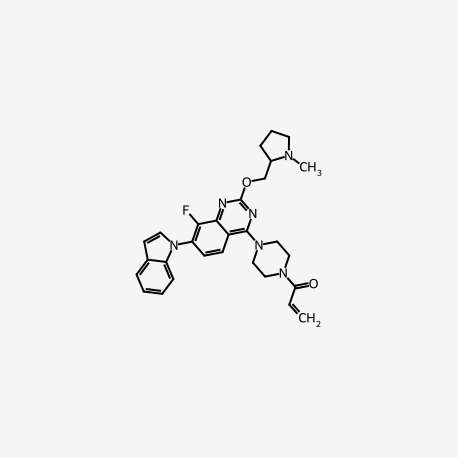 C=CC(=O)N1CCN(c2nc(OCC3CCCN3C)nc3c(F)c(-n4ccc5ccccc54)ccc23)CC1